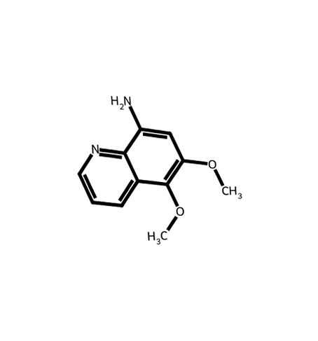 COc1cc(N)c2ncccc2c1OC